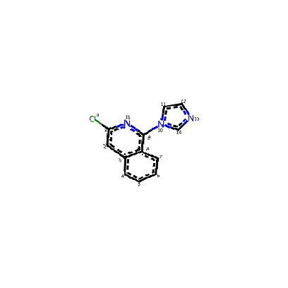 Clc1cc2ccccc2c(-n2ccnc2)n1